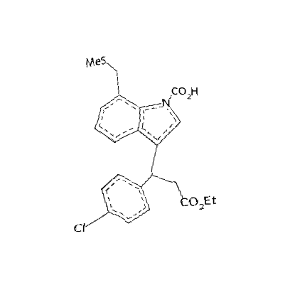 CCOC(=O)CC(c1ccc(Cl)cc1)c1cn(C(=O)O)c2c(CSC)cccc12